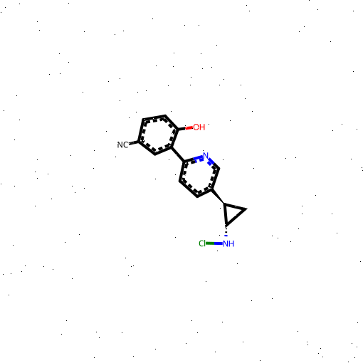 N#Cc1ccc(O)c(-c2ccc([C@H]3C[C@@H]3NCl)cn2)c1